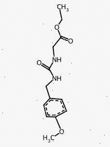 CCOC(=O)CNC(=O)NCc1ccc(OC)cc1